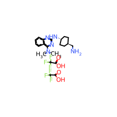 CN(C)c1nc(N[C@H]2CC[C@H](CN)CC2)nc2ccccc12.O=C(O)C(F)(F)F.O=C(O)C(F)(F)F